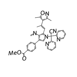 C=Nc1c(-c2ccc(C(=O)OC)cc2)cn(C(C#N)(c2ccccn2)c2ccccn2)c1/C=C(\C)c1c(C)noc1C